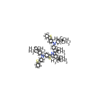 CC(C)(C)c1ccc(N(c2ccc3c(c2)C(C)(C)c2c-3n3c4c2cc(C(C)(C)C)cc4c2sc4cc(N(c5ccc(C(C)(C)C)cc5)c5ccc6c(c5)sc5ccccc56)ccc4c23)c2ccc3c(c2)sc2ccccc23)cc1